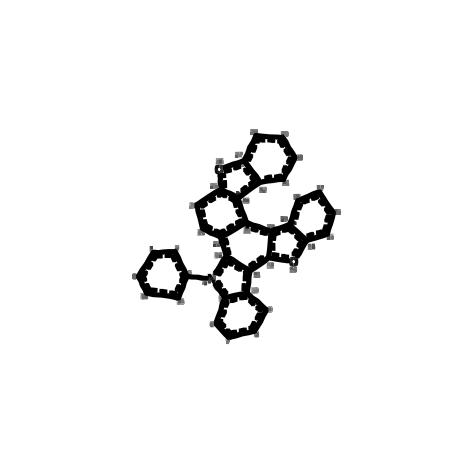 c1ccc(-n2c3ccccc3c3c4oc5ccccc5c4c4c(ccc5oc6ccccc6c54)c32)cc1